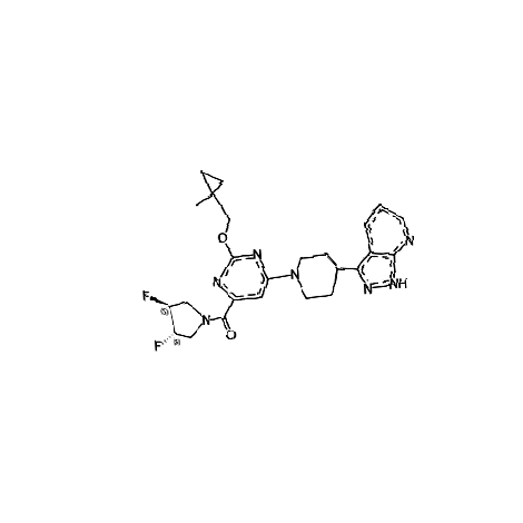 CC1(COc2nc(C(=O)N3C[C@H](F)[C@@H](F)C3)cc(N3CCC(c4n[nH]c5ncccc45)CC3)n2)CC1